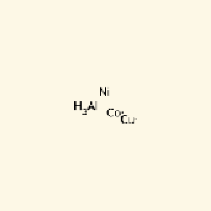 [AlH3].[Co].[Cu].[Ni]